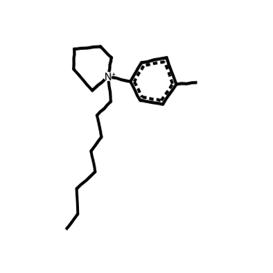 CCCCCCCC[N+]1(c2ccc(C)cc2)CCCCC1